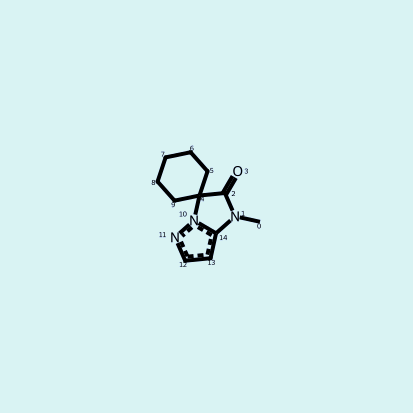 CN1C(=O)C2(CCCCC2)n2nccc21